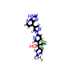 CN1CCC(C(O)(c2ccc(-n3cc(-c4ccnc5[nH]cnc45)cn3)nc2)C(F)(F)F)C1